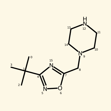 CC(C)(C)c1noc(CN2CCNCC2)n1